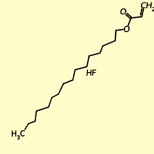 C=CC(=O)OCCCCCCCCCCCCCCCC.F